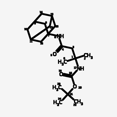 CC(C)(CC(=O)NC12CC3CC(CC(C3)C1)C2)NC(=O)OC(C)(C)C